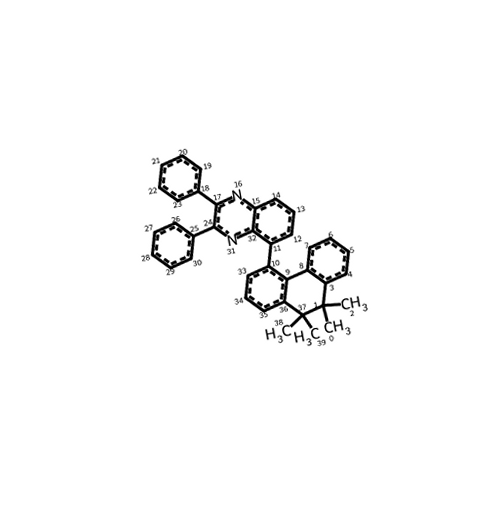 CC1(C)c2ccccc2-c2c(-c3cccc4nc(-c5ccccc5)c(-c5ccccc5)nc34)cccc2C1(C)C